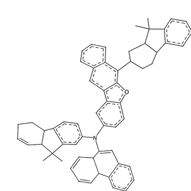 CC1(C)c2cc(N(C3=Cc4ccccc4C4C=CC=CC34)c3ccc4oc5c(C6CCC7c8ccccc8C(C)(C)C7C6)c6ccccc6cc5c4c3)ccc2C2CCC=CC21